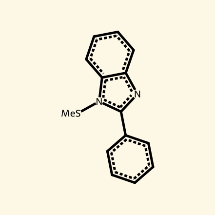 CSn1c(-c2ccccc2)nc2ccccc21